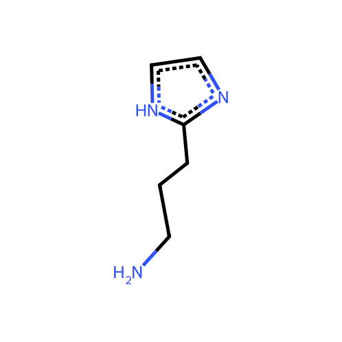 NCCCc1ncc[nH]1